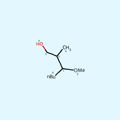 CCCCC(OC)C(C)CO